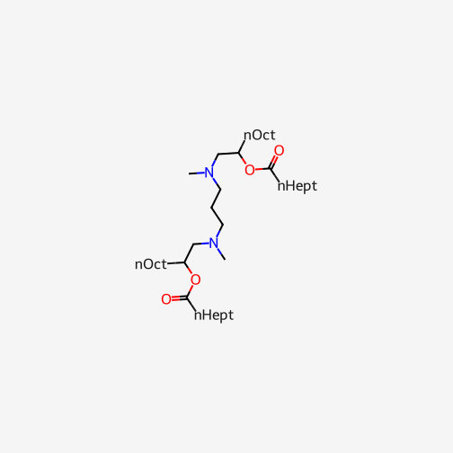 CCCCCCCCC(CN(C)CCCN(C)CC(CCCCCCCC)OC(=O)CCCCCCC)OC(=O)CCCCCCC